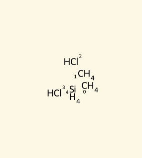 C.C.Cl.Cl.[SiH4]